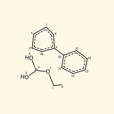 CCOP(O)O.c1ccc(-c2ccccc2)cc1